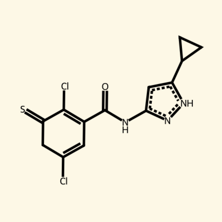 O=C(Nc1cc(C2CC2)[nH]n1)C1=C(Cl)C(=S)CC(Cl)=C1